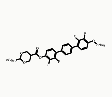 CCCCCCCCCOc1ccc(-c2ccc(-c3ccc(OC(=O)C4COC(CCCCC)OC4)c(F)c3F)cc2)c(F)c1F